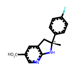 C[C@]1(c2ccc(F)cc2)Cc2cc(C(=O)O)cnc2N1